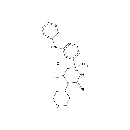 C[C@@]1(c2cccc(Nc3ccccc3)c2Cl)CC(=O)N(C2CCOCC2)C(=N)N1